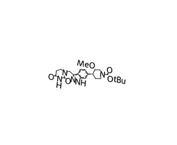 CO[C@H]1CN(C(=O)OC(C)(C)C)CC[C@H]1c1ccc2c(CN3CCC(=O)NC3=O)n[nH]c2c1